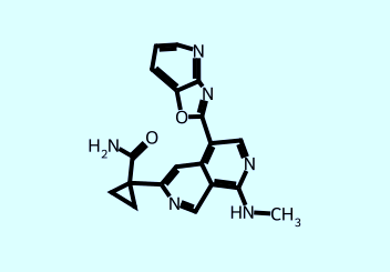 CNc1ncc(-c2nc3ncccc3o2)c2cc(C3(C(N)=O)CC3)ncc12